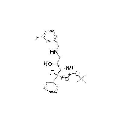 CC(C)(C)OC(=O)N[C@@H]([C@H](O)CNCc1cccc(I)c1)C(F)(F)c1ccccc1